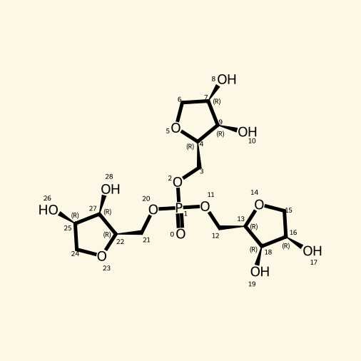 O=P(OC[C@H]1OC[C@@H](O)[C@H]1O)(OC[C@H]1OC[C@@H](O)[C@H]1O)OC[C@H]1OC[C@@H](O)[C@H]1O